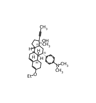 CC#C[C@]1(O)CC[C@H]2[C@@H]3CC=C4C=C(OCC)CC[C@@H]4[C@H]3[C@@H](c3ccc(N(C)C)cc3)C[C@@]21C